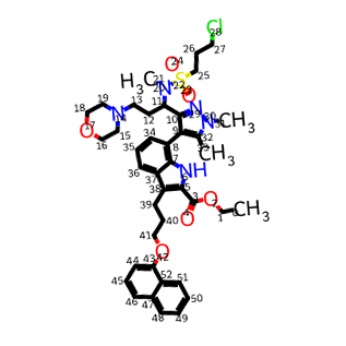 CCOC(=O)c1[nH]c2c(-c3c(C(CCN4CCOCC4)N(C)S(=O)(=O)CCCCl)nn(C)c3C)cccc2c1CCCOc1cccc2ccccc12